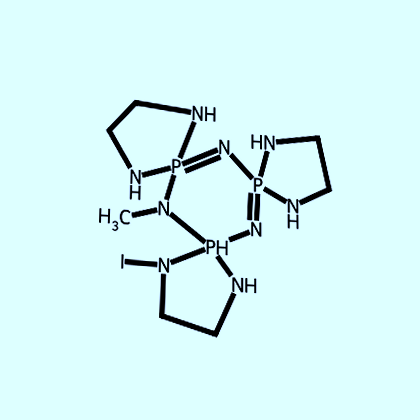 CN1P2(=NP3(=N[PH]14NCCN4I)NCCN3)NCCN2